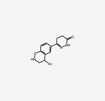 CC(=O)C1CNOc2ccc(C3=NNC(=O)CC3)cc21